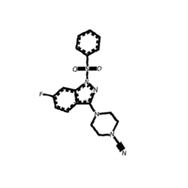 N#CN1CCN(c2nn(S(=O)(=O)c3ccccc3)c3cc(F)ccc23)CC1